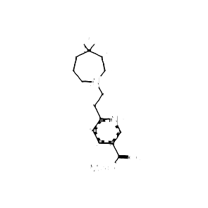 COC(=O)c1ccc(CCN2CCCC(F)(F)CC2)nc1